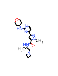 CC(CN1CCC1)NC(=O)c1cc(-c2ccnc(NC3CCOCC3)n2)nn1C